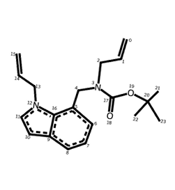 C=CCN(Cc1cccc2ccn(CC=C)c12)C(=O)OC(C)(C)C